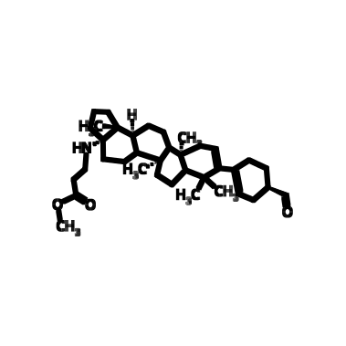 COC(=O)CCN[C@]12CCC[C@]1(C)[C@H]1CCC3[C@@](C)(CCC4C(C)(C)C(C5=CC[C@H](C=O)CC5)=CC[C@@]43C)C1CC2